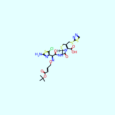 CC(C)(C)OC(=O)C=CCON=C(C(=O)NC1C(=O)N2C(C(=O)O)=C(CSc3nncs3)CS[C@@H]12)c1nc(N)sc1Cl